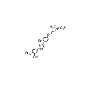 CCc1cc(OCCCN(C)C(=O)O)ccc1-c1cnc(-c2ccc(OC(C)C)c(C#N)c2)s1